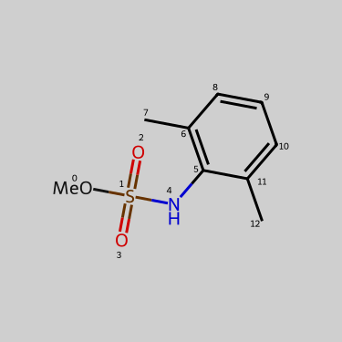 COS(=O)(=O)Nc1c(C)cccc1C